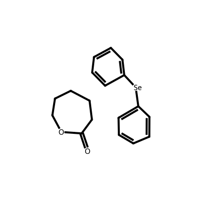 O=C1CCCCCO1.c1ccc([Se]c2ccccc2)cc1